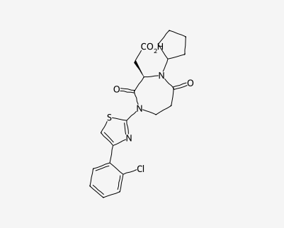 O=C(O)C[C@@H]1C(=O)N(c2nc(-c3ccccc3Cl)cs2)CCC(=O)N1C1CCCC1